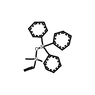 C=C[Si](C)(C)O[Si](c1ccccc1)(c1ccccc1)c1ccccc1